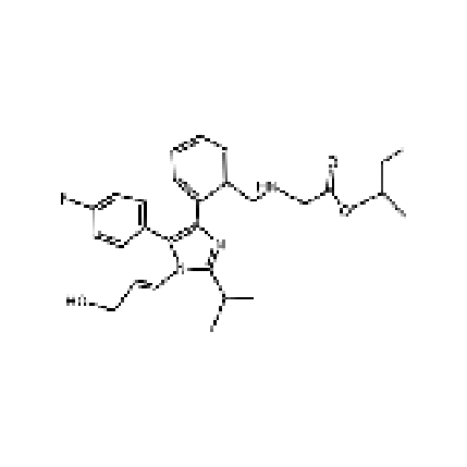 CCC(C)OC(=O)CNCc1ccccc1-c1nc(C(C)C)n(C=CCO)c1-c1ccc(F)cc1